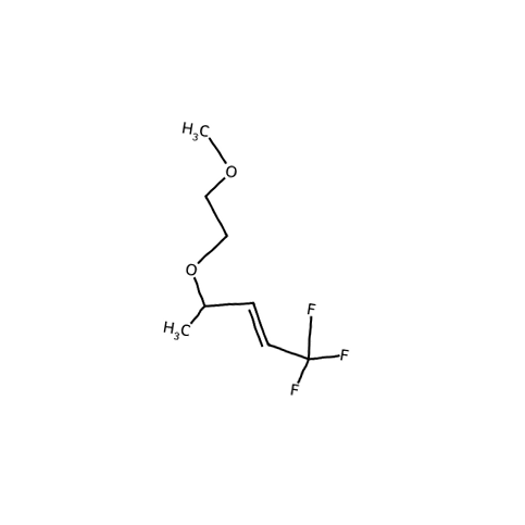 COCCOC(C)C=CC(F)(F)F